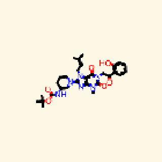 CC(C)=CCn1c(N2CCC[C@H](NC(=O)OC(C)(C)C)C2)nc2c1c(=O)n(CC(=O)c1ccccc1O)c(=O)n2C